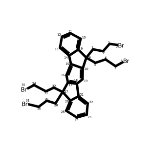 BrCCCC1(CCCBr)c2ccccc2-c2cc3c(cc21)-c1ccccc1C3(CCCBr)CCCBr